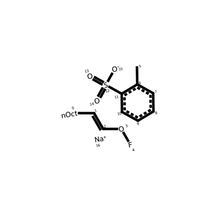 CCCCCCCCC=COF.Cc1ccccc1S(=O)(=O)[O-].[Na+]